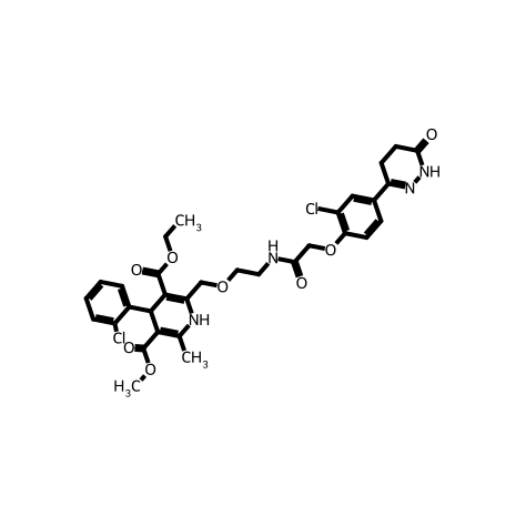 CCOC(=O)C1=C(COCCNC(=O)COc2ccc(C3=NNC(=O)CC3)cc2Cl)NC(C)=C(C(=O)OC)C1c1ccccc1Cl